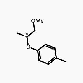 COC[C@H](C)Oc1ccc(C)cc1